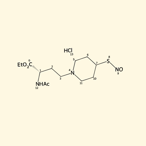 CCOC(=O)[C@H](CCN1CCC(SN=O)CC1)NC(C)=O.Cl